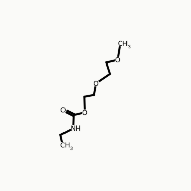 CCNC(=O)OCCOCCOC